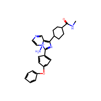 CNC(=O)C1CCC(C2=C3C=NC=C[N+]3(N)C(c3ccc(Oc4ccccc4)cc3)=N2)CC1